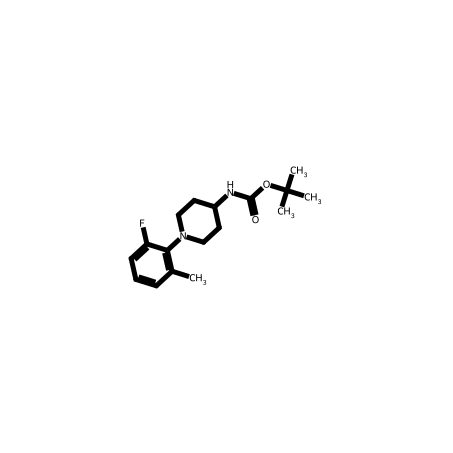 Cc1cccc(F)c1N1CCC(NC(=O)OC(C)(C)C)CC1